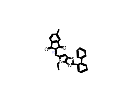 CCn1c(/C=C2/C(=O)c3ccc(C)cc3C2=O)cc2sc(-c3ccccc3-c3ccccc3)nc21